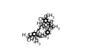 CCC(C)(C)c1ccc(OCCCC(=O)Nc2cc(C(=O)C(Cl)(OC)C(=O)Nc3ccccc3)cc(OC)c2Cl)c(C(C)(C)CC)c1